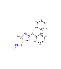 CNCc1c(C)nn(Cc2ccccc2-c2ccccc2)c1C